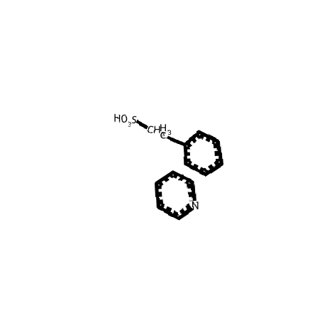 CS(=O)(=O)O.Cc1ccccc1.c1ccncc1